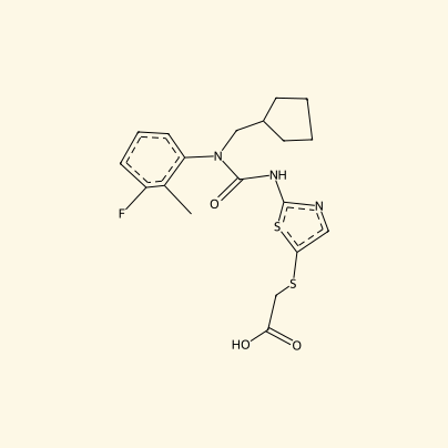 Cc1c(F)cccc1N(CC1CCCC1)C(=O)Nc1ncc(SCC(=O)O)s1